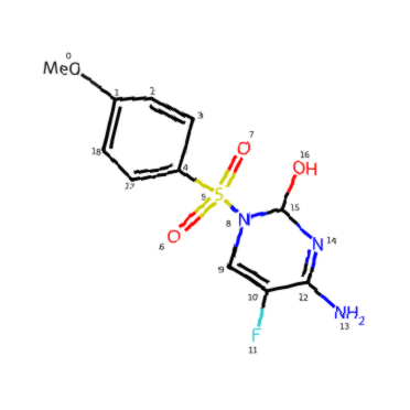 COc1ccc(S(=O)(=O)N2C=C(F)C(N)=NC2O)cc1